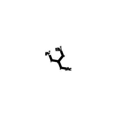 CC(=O)CC(CC(C)C)CC(C)(C)C